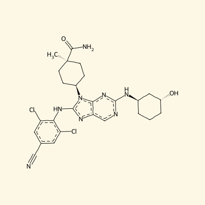 C[C@]1(C(N)=O)CC[C@@H](n2c(Nc3c(Cl)cc(C#N)cc3Cl)nc3cnc(N[C@@H]4CCC[C@@H](O)C4)nc32)CC1